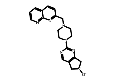 [O-][S+]1Cc2cnc(N3CCN(Cc4ccc5cccnc5n4)CC3)nc2C1